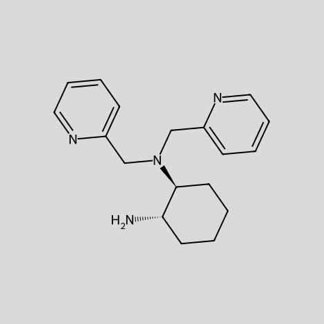 N[C@H]1CCCC[C@@H]1N(Cc1ccccn1)Cc1ccccn1